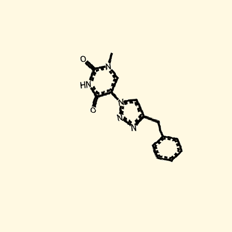 Cn1cc(-n2cc(Cc3ccccc3)nn2)c(=O)[nH]c1=O